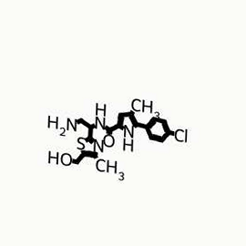 Cc1cc(C(=O)NC(CN)c2nc(C)c(CO)s2)[nH]c1-c1ccc(Cl)cc1